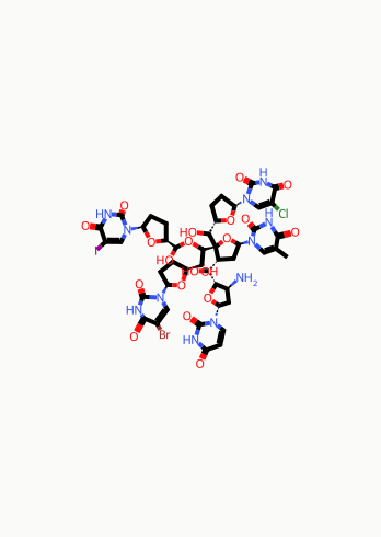 Cc1cn([C@H]2C[C@H](C(O)[C@H]3O[C@@H](n4ccc(=O)[nH]c4=O)C[C@@H]3N)[C@]([C](OC(O)[C@@H]3CC[C@H](n4cc(I)c(=O)[nH]c4=O)O3)C(O)[C@@H]3CC[C@H](n4cc(Br)c(=O)[nH]c4=O)O3)(C(O)[C@@H]3CC[C@H](n4cc(Cl)c(=O)[nH]c4=O)O3)O2)c(=O)[nH]c1=O